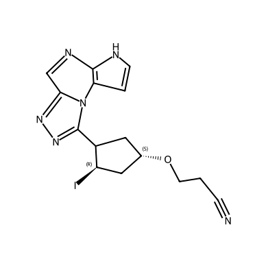 N#CCCO[C@H]1CC(c2nnc3cnc4[nH]ccc4n23)[C@H](I)C1